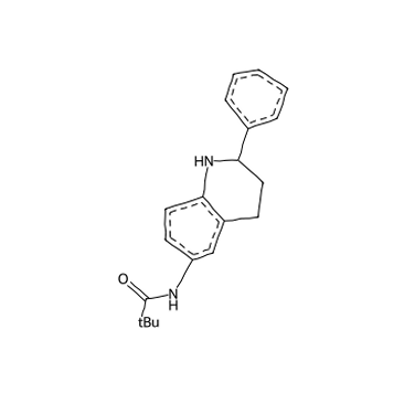 CC(C)(C)C(=O)Nc1ccc2c(c1)CCC(c1ccccc1)N2